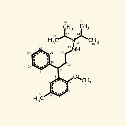 COc1ccc(C)cc1C(CCNN(C(C)C)C(C)C)c1ccccc1